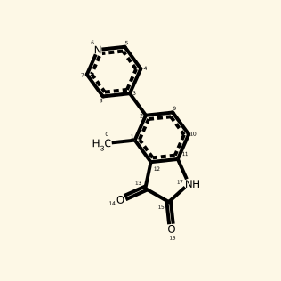 Cc1c(-c2ccncc2)ccc2c1C(=O)C(=O)N2